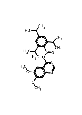 COc1cc2ncnc(OS(=O)c3c(C(C)C)cc(C(C)C)cc3C(C)C)c2cc1OC